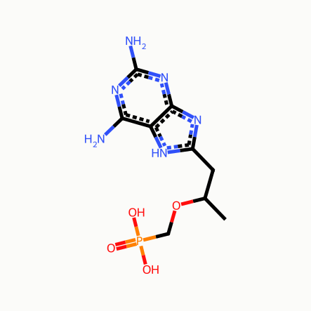 CC(Cc1nc2nc(N)nc(N)c2[nH]1)OCP(=O)(O)O